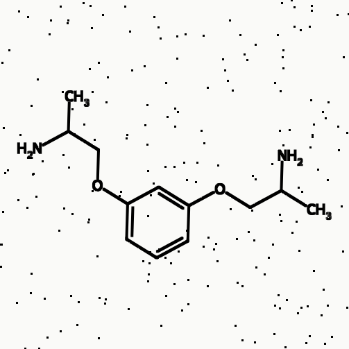 CC(N)COc1cccc(OCC(C)N)c1